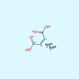 O=C(O)/C=C\C(=O)O.[NaH].[NaH]